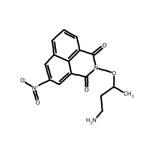 CC(CCN)ON1C(=O)c2cccc3cc([N+](=O)[O-])cc(c23)C1=O